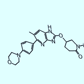 Cc1cc2[nH]c(OC3CCC(=O)N(C(C)C)C3)nc2nc1-c1ccc(N2CCOCC2)cc1